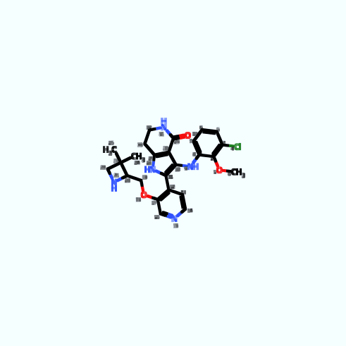 COc1c(Cl)cccc1Nc1c(-c2ccncc2OCC2NCC2(C)C)[nH]c2c1C(=O)NCC2